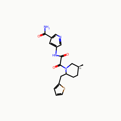 C[C@H]1CCC(Cc2cccs2)N(C(=O)C(=O)Nc2cncc(C(N)=O)c2)C1